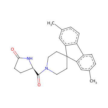 Cc1ccc2c(c1)C1(CCN(C(=O)[C@H]3CCC(=O)N3)CC1)c1cc(C)ccc1-2